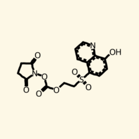 O=C(OCCS(=O)(=O)c1ccc(O)c2ncccc12)ON1C(=O)CCC1=O